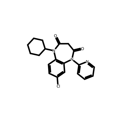 O=C1CC(=O)N(C2CCCCC2)c2ccc(Cl)cc2N1c1ccccn1